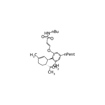 C=C(C)[C@@H]1CCC(C)=C[C@H]1c1c(O)cc(CCCCC)cc1OC=CS(=O)(=O)NCCCC